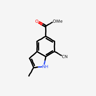 COC(=O)c1cc(C#N)c2[nH]c(C)cc2c1